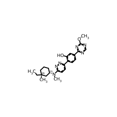 CC[C@]1(C)CCC[C@H](N(C)c2ccc(-c3ccc(-c4ncnc(OC)n4)cc3O)nn2)C1